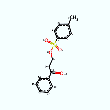 Cc1ccc(S(=O)(=O)OCCC(=O)c2ccccc2)cc1